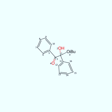 CC(C)COC(O)(C(=O)c1ccccc1)c1ccccc1